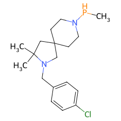 CPN1CCC2(CC1)CN(Cc1ccc(Cl)cc1)C(C)(C)C2